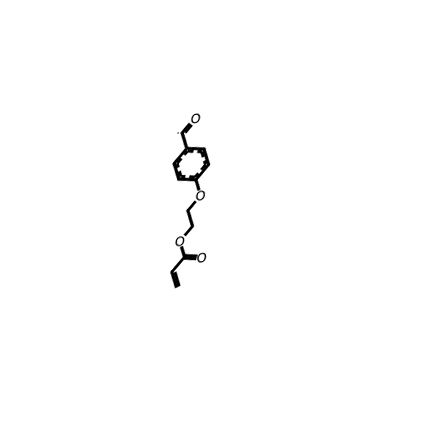 C=CC(=O)OCCOc1ccc([C]=O)cc1